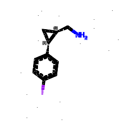 NC[C@@H]1C[C@H]1c1ccc(I)cc1